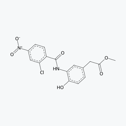 COC(=O)Cc1ccc(O)c(NC(=O)c2ccc([N+](=O)[O-])cc2Cl)c1